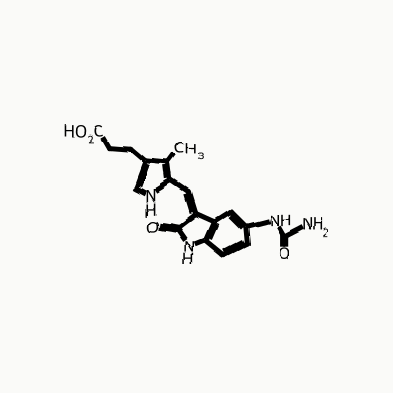 Cc1c(CCC(=O)O)c[nH]c1C=C1C(=O)Nc2ccc(NC(N)=O)cc21